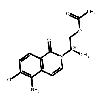 CC(=O)OC[C@@H](C)n1ccc2c(N)c(Cl)ccc2c1=O